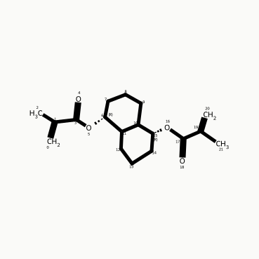 C=C(C)C(=O)O[C@@H]1CCCC2C1CCC[C@H]2OC(=O)C(=C)C